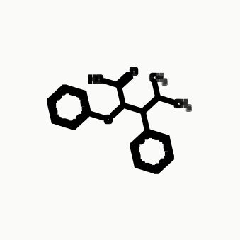 CC(C)C(c1ccccc1)C(Oc1ccccc1)C(=O)O